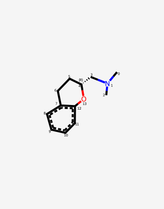 CN(C)C[C@H]1CCc2ccccc2O1